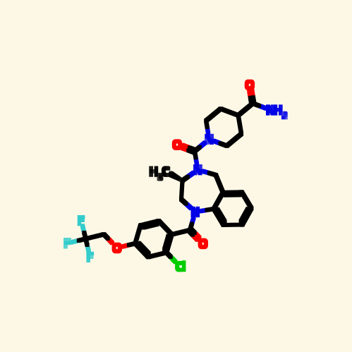 C[C@@H]1CN(C(=O)c2ccc(OCC(F)(F)F)cc2Cl)c2ccccc2CN1C(=O)N1CCC(C(N)=O)CC1